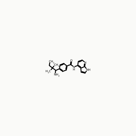 CCC(C)(C)C(N)c1ccc(C(=O)Nc2ccnc3[nH]ccc23)cc1